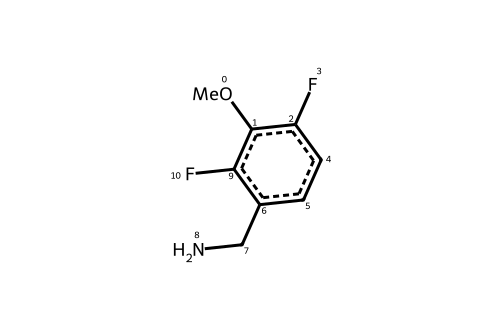 COc1c(F)ccc(CN)c1F